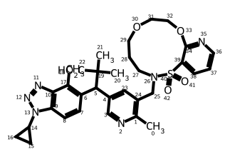 Cc1ncc(C(c2ccc3c(nnn3C3CC3)c2C)C(C)(C)C(=O)O)cc1CN1CCCOCCOc2ncccc2S1(=O)=O